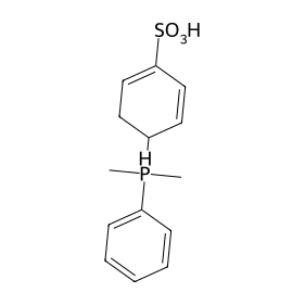 C[PH](C)(c1ccccc1)C1C=CC(S(=O)(=O)O)=CC1